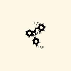 O=C(O)c1ccc(-n2nc(Cc3c(Cl)cccc3C(F)(F)F)c3ccccc32)cc1